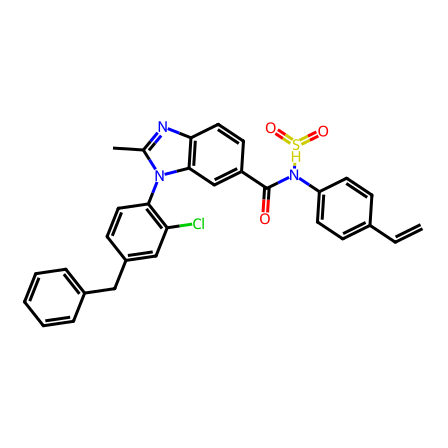 C=Cc1ccc(N(C(=O)c2ccc3nc(C)n(-c4ccc(Cc5ccccc5)cc4Cl)c3c2)[SH](=O)=O)cc1